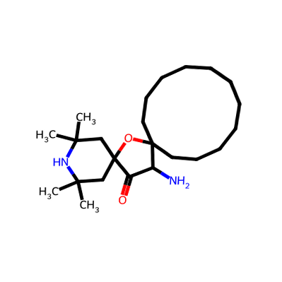 CC1(C)CC2(CC(C)(C)N1)OC1(CCCCCCCCCCC1)C(N)C2=O